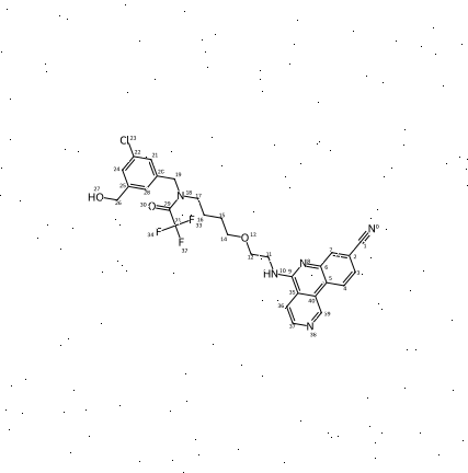 N#Cc1ccc2c(c1)nc(NCCOCCCCN(Cc1cc(Cl)cc(CO)c1)C(=O)C(F)(F)F)c1ccncc12